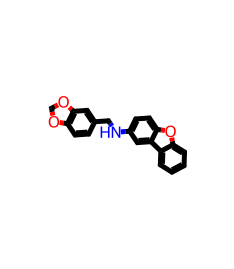 c1ccc2c(c1)oc1ccc(NCc3ccc4c(c3)OCO4)cc12